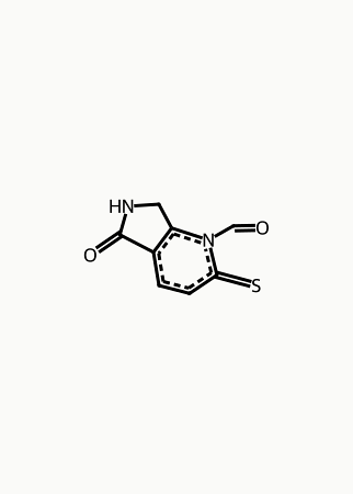 O=Cn1c2c(ccc1=S)C(=O)NC2